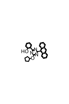 Oc1ccccc1-c1nc(OC2CCCC2)nc(-c2c3ccccc3cc3ccccc23)n1